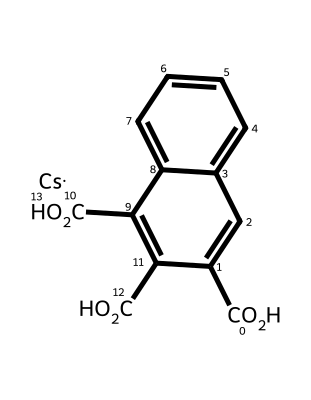 O=C(O)c1cc2ccccc2c(C(=O)O)c1C(=O)O.[Cs]